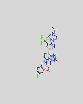 COc1cc(F)ccc1CNc1ccc(-c2cnc(N3CCN(C(C)C)CC3)c(C(F)(F)F)c2)c2nncn12